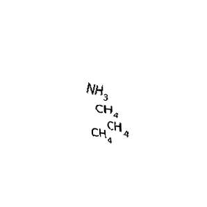 C.C.C.N